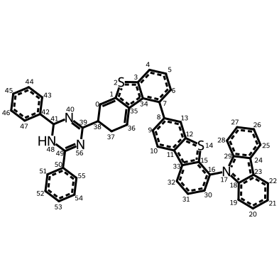 C1=c2sc3cccc(-c4ccc5c(c4)sc4c(-n6c7ccccc7c7ccccc76)cccc45)c3c2=CCC1C1=NC(c2ccccc2)NC(c2ccccc2)=N1